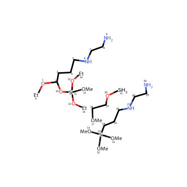 CCOC(CCCNCCN)O[Si](OC)(OCC)OCC.COCCO[SiH3].CO[Si](CCCNCCN)(OC)OC